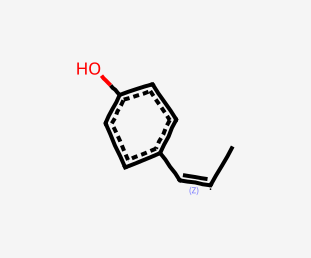 C/[C]=C\c1ccc(O)cc1